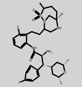 CC1CC[C@@H]2CN(C(CCc3c(F)cccc3NC(=O)[C@@H](N)[C@@H](c3ccc(F)cc3)C3C[C@@H](C)O[C@@H](C)C3)CN2)S1(=O)=O